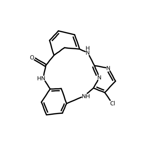 O=C1Nc2cccc(c2)Nc2nc(ncc2Cl)NC2=CC=CC1C2